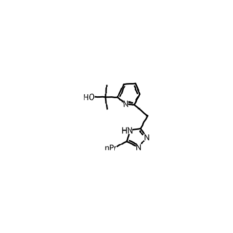 CCCc1nnc(Cc2cccc(C(C)(C)O)n2)[nH]1